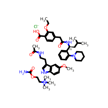 CCOc1cc(CC(=O)N[C@@H](CC(C)C)c2ccccc2N2CCCCC2)ccc1C(=O)O.COc1ccc2[nH]cc(CCNC(C)=O)c2c1.C[N+](C)(C)CCOC(N)=O.[Cl-]